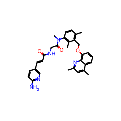 Cc1cc(C)c2cccc(OCc3c(C)ccc(N(C)C(=O)CNC(=O)C=Cc4ccc(N)nc4)c3C)c2n1